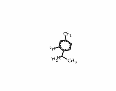 [2H]c1cc(C(F)(F)F)ccc1C(C)N